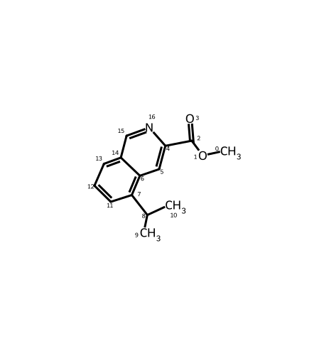 COC(=O)c1cc2c(C(C)C)cccc2cn1